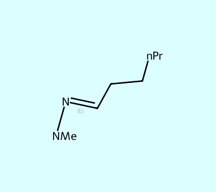 CCCCC/C=N/NC